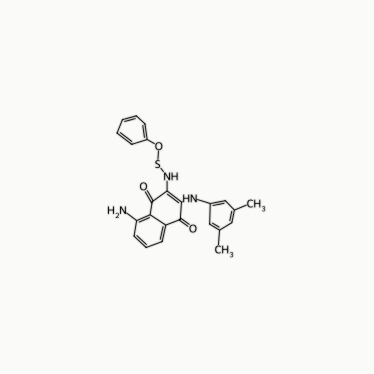 Cc1cc(C)cc(NC2=C(NSOc3ccccc3)C(=O)c3c(N)cccc3C2=O)c1